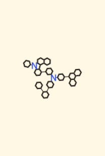 c1ccc(-c2ccccc2-c2ccc(N(c3ccc(-c4cc5ccccc5c5ccccc45)cc3)c3cccc(-c4cccc5c4c4c6ccccc6ccc4n5-c4ccccc4)c3)cc2)cc1